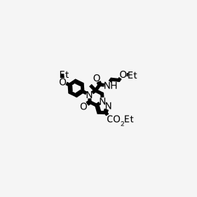 CCOCCNC(=O)C1(C)Cn2nc(C(=O)OCC)cc2C(=O)N1c1ccc(OCC)cc1